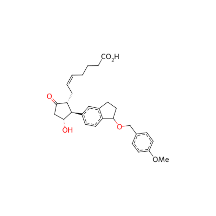 COc1ccc(COC2CCc3cc([C@H]4[C@H](O)CC(=O)[C@@H]4C/C=C\CCCC(=O)O)ccc32)cc1